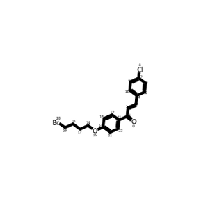 O=C(C=Cc1ccc(Cl)cc1)c1ccc(OCCCCBr)cc1